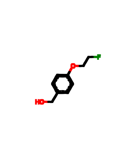 OCc1ccc(OCCF)cc1